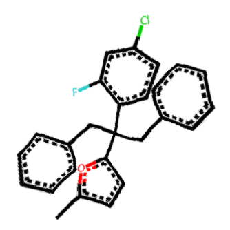 Cc1ccc(C(Cc2ccccc2)(Cc2ccccc2)c2ccc(Cl)cc2F)o1